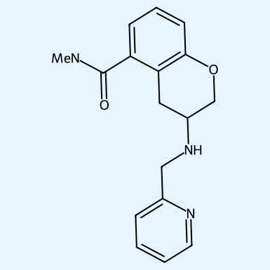 CNC(=O)c1cccc2c1CC(NCc1ccccn1)CO2